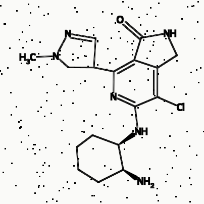 CN1CC(c2nc(N[C@@H]3CCCC[C@@H]3N)c(Cl)c3c2C(=O)NC3)C=N1